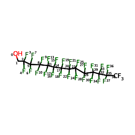 OCC(F)(F)C(F)(F)C(F)(F)C(F)(F)C(F)(F)C(F)(F)C(F)(F)C(F)(F)C(F)(F)C(F)(F)C(F)(F)C(F)(F)C(F)(F)F